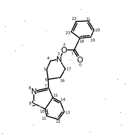 O=C(ON1CCC(c2nsc3ccccc23)CC1)c1ccccc1